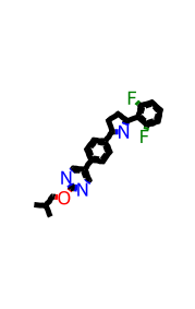 CC(C)COc1ncc(-c2ccc(C3CCC(c4c(F)cccc4F)=N3)cc2)cn1